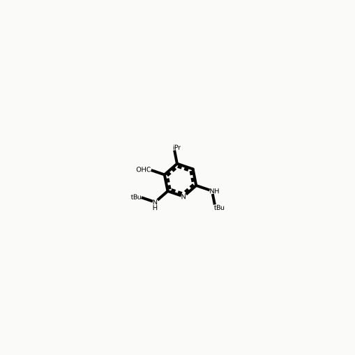 CC(C)c1cc(NC(C)(C)C)nc(NC(C)(C)C)c1C=O